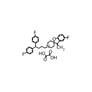 C=C1c2cc(F)ccc2OC12CCN(CCCC(c1ccc(F)cc1)c1ccc(F)cc1)CC2.O=C(O)C(=O)O